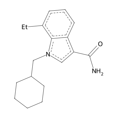 CCc1cccc2c(C(N)=O)cn(CC3CCCCC3)c12